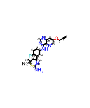 C#CCOc1cnc2c(Nc3ccc(F)c([C@]4(C)C[C@](C)(C#N)SC(N)=N4)c3)ncnc2c1